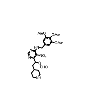 COc1cc(CNc2ncnc(C(CC3CCNCC3)OC=O)c2[N+](=O)[O-])cc(OC)c1OC